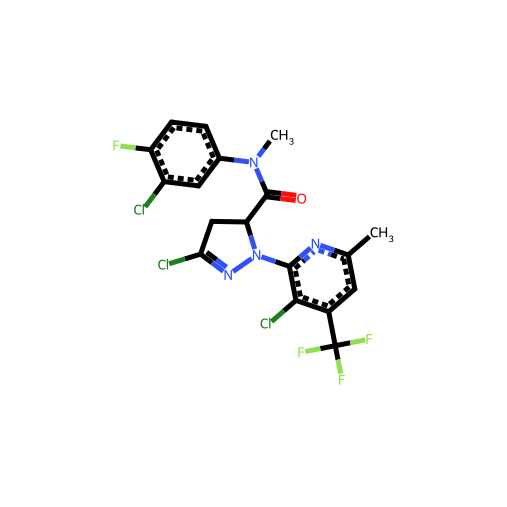 Cc1cc(C(F)(F)F)c(Cl)c(N2N=C(Cl)CC2C(=O)N(C)c2ccc(F)c(Cl)c2)n1